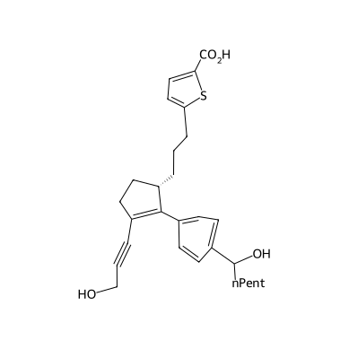 CCCCCC(O)c1ccc(C2=C(C#CCO)CC[C@@H]2CCCc2ccc(C(=O)O)s2)cc1